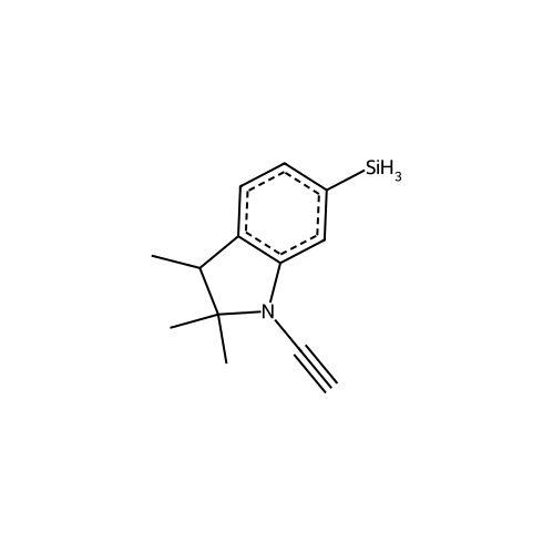 C#CN1c2cc([SiH3])ccc2C(C)C1(C)C